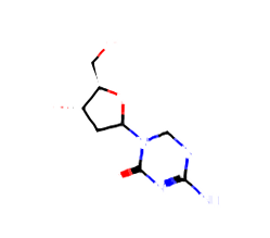 NC1=NC(=O)N(C2C[C@H](O)[C@@H](CO)O2)CN1